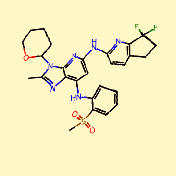 Cc1nc2c(Nc3ccccc3S(C)(=O)=O)cc(Nc3ccc4c(n3)C(F)(F)CC4)nc2n1C1CCCCO1